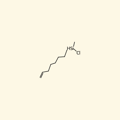 C=CCCCCCC[SiH](C)Cl